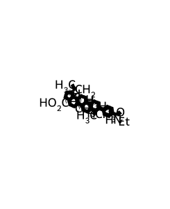 C=C(C)[C@@H]1CC[C@]2(C(=O)O)CC[C@]3(C)[C@H](CC[C@@H]4[C@@]5(C)CC=C(c6ccc(C(=O)NCC)cc6)C(C)(C)[C@@H]5CC[C@]43C)[C@@H]12